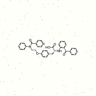 O=C(c1ccccc1)c1ccccc1N[C@@H](Cc1ccc(OCCN(C(=O)c2ccncc2)c2ccccc2)cc1)C(=O)O